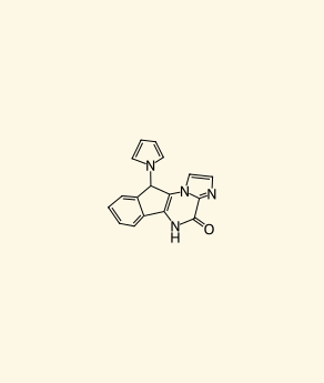 O=c1[nH]c2c(n3ccnc13)C(n1cccc1)c1ccccc1-2